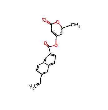 C=Cc1ccc2cc(C(=O)Oc3cc(C)oc(=O)c3)ccc2c1